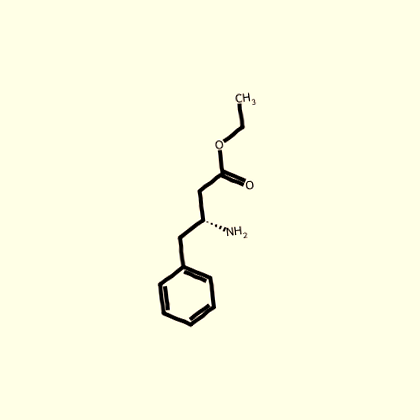 CCOC(=O)C[C@H](N)Cc1ccccc1